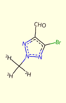 [2H]C([2H])([2H])n1nc(Br)c(C=O)n1